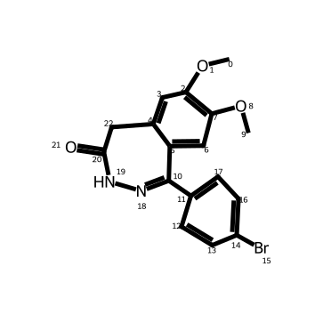 COc1cc2c(cc1OC)C(c1ccc(Br)cc1)=NNC(=O)C2